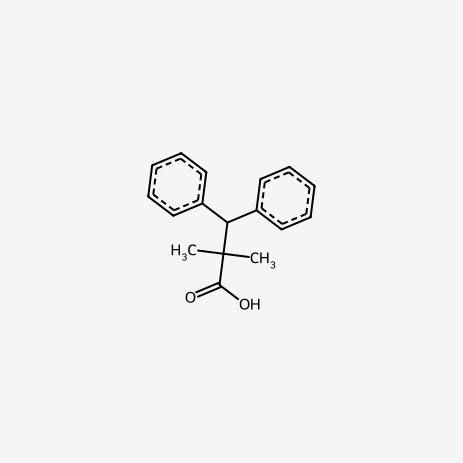 CC(C)(C(=O)O)C(c1ccccc1)c1ccccc1